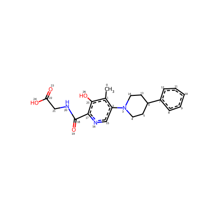 Cc1c(N2CCC(c3ccccc3)CC2)cnc(C(=O)NCC(=O)O)c1O